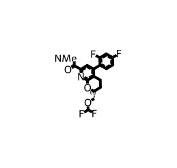 CNC(=O)c1cc(-c2ccc(F)cc2F)c2c(n1)O[C@@H](COC(F)F)CC2